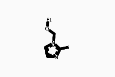 CCOCn1ccnc1I